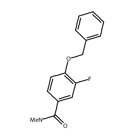 CNC(=O)c1ccc(OCc2ccccc2)c(F)c1